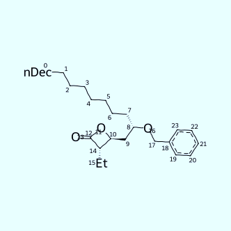 CCCCCCCCCCCCCCCCC[C@@H](C[C@@H]1OC(=O)[C@H]1CC)OCc1ccccc1